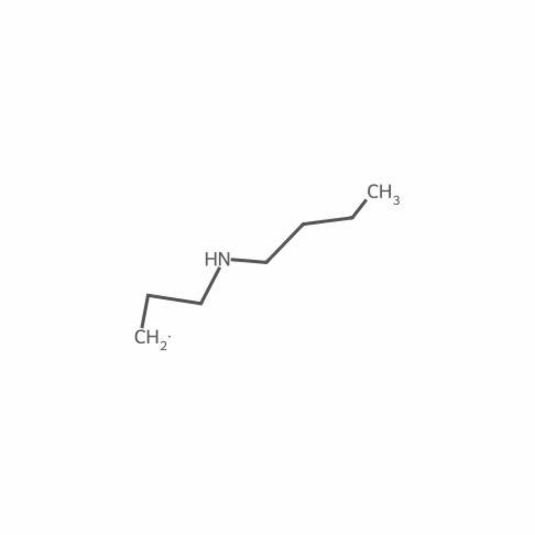 [CH2]CCNCCCC